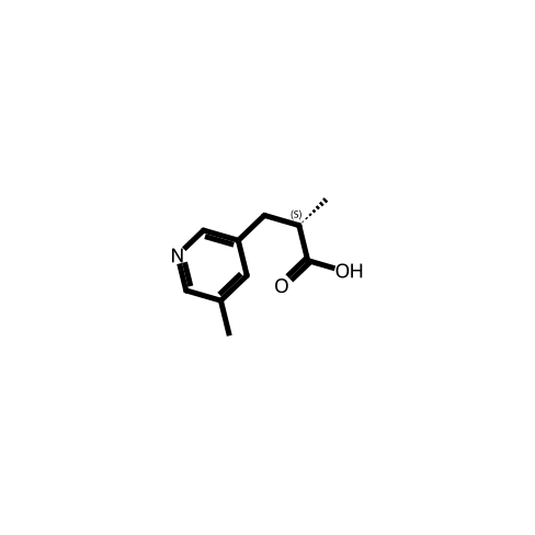 Cc1cncc(C[C@H](C)C(=O)O)c1